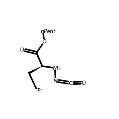 CCCCCOC(=O)[C@H](CC(C)C)NN=C=O